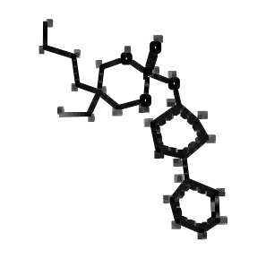 CCCCC1(CC)COP(=O)(Oc2ccc(-c3ccccc3)cc2)OC1